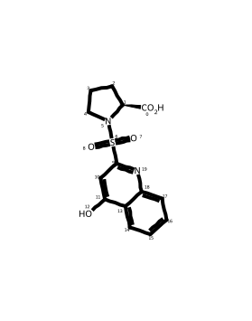 O=C(O)[C@@H]1CCCN1S(=O)(=O)c1cc(O)c2ccccc2n1